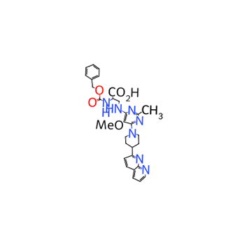 COc1c(NCC(NC(=O)OCc2ccccc2)C(=O)O)nc(C)nc1N1CCC(c2ccc3cccnc3n2)CC1